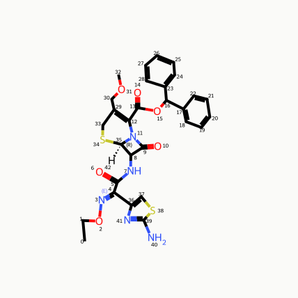 CCO/N=C(/C(=O)NC1C(=O)N2C(C(=O)OC(c3ccccc3)c3ccccc3)=C(COC)CS[C@H]12)c1csc(N)n1